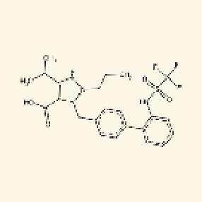 CCCN1NC(C(C)C)=C(C(=O)O)C1Cc1ccc(-c2ccccc2NS(=O)(=O)C(F)(F)F)cc1